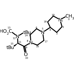 CN1CCC(N2CCN(C(=O)[C@H](N(C(=O)O)C(C)(C)C)C(C)(C)C)CC2)CC1